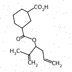 C=CCC(OC(=O)C1CCCC(C(=O)O)C1)C(=C)C